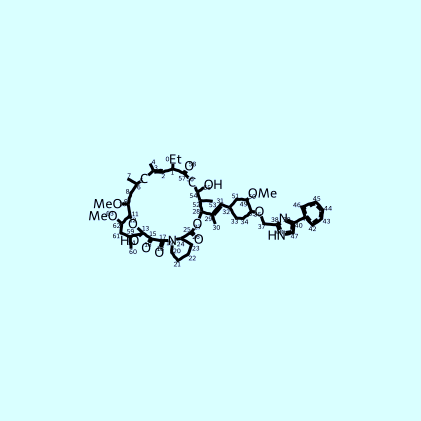 CCC1/C=C(\C)CC(C)CC(OC)C2OC(O)(C(=O)C(=O)N3CCCCC3C(=O)OC(C(C)=CC3CCC(OCc4nc(-c5ccccc5)c[nH]4)C(OC)C3)C(C)C(O)CC1=O)C(C)CC2OC